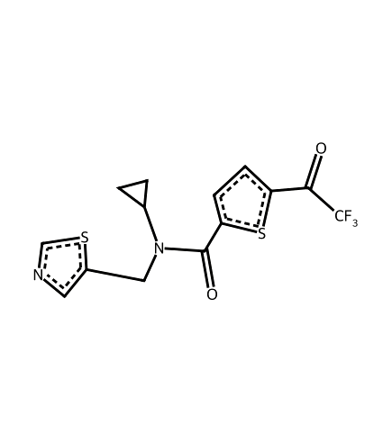 O=C(c1ccc(C(=O)C(F)(F)F)s1)N(Cc1cncs1)C1CC1